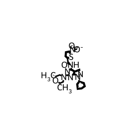 C[C@@H]1CN(c2nc(NC(=O)c3ccc([N+](=O)[O-])s3)c3cnn(-c4ccccc4)c3n2)C[C@H](C)O1